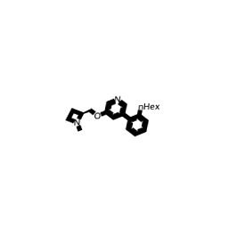 CCCCCCc1ccccc1-c1cncc(OC[C@@H]2CCN2C)c1